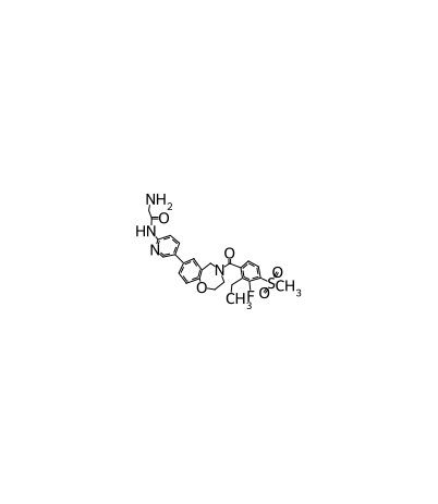 CCc1c(C(=O)N2CCOc3ccc(-c4ccc(NC(=O)CN)nc4)cc3C2)ccc(S(C)(=O)=O)c1F